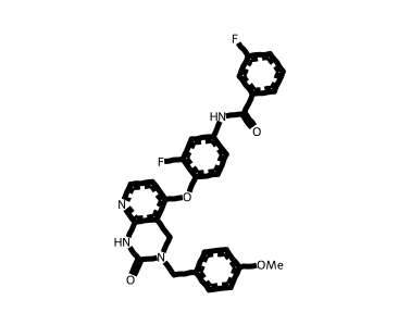 COc1ccc(CN2Cc3c(Oc4ccc(NC(=O)c5cccc(F)c5)cc4F)ccnc3NC2=O)cc1